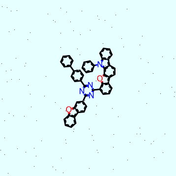 c1ccc(-c2ccc(-c3nc(-c4ccc5c(c4)oc4ccccc45)nc(-c4cccc5c4oc4c5ccc5c6ccccc6n(-c6ccccc6)c54)n3)cc2)cc1